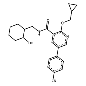 N#Cc1ccc(-c2cnc(OCC3CC3)c(C(=O)NCC3CCCCC3O)c2)cc1